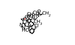 C=CC(=O)N1C[C@H](C)N(c2c(S(C)(=O)=O)c(=O)n(-c3c(C4CC4)ncnc3C3CC3)c3nc(-c4c(O)cccc4F)c(Cl)cc23)C[C@H]1C